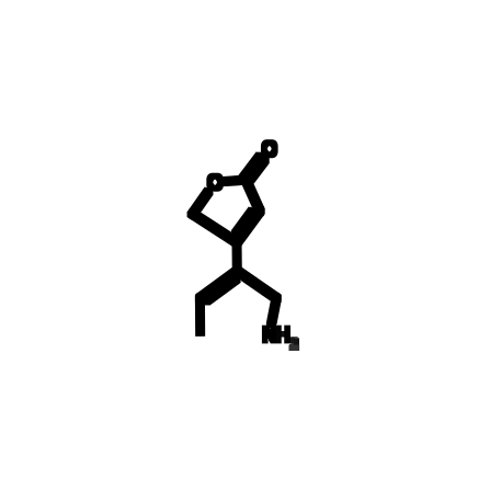 C/C=C(\CN)C1=CC(=O)OC1